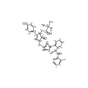 Cc1ccccc1NC(=O)c1ccccc1-n1cnc(Cn2nc(-c3ccc(Cl)cc3)n(C[C@H](O)C(F)(F)F)c2=O)n1